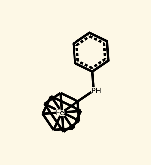 c1ccc(P[C]23[CH]4[CH]5[CH]6[CH]2[Fe]56432789[CH]3[CH]2[CH]7[CH]8[CH]39)cc1